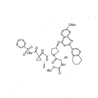 C=C[C@@H]1C[C@]1(NC(=O)[C@@H]1C[C@@H](Oc2cc(-c3ccc4c(c3)CCCC4)nc3cc(OC)ccc23)CN1C(=O)[C@@H](NC(=O)OC(C)(C)C)C(C)C)C(=O)NS(=O)(=O)c1ccccc1